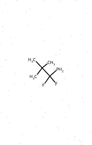 CC(C)(C)C(F)(F)P